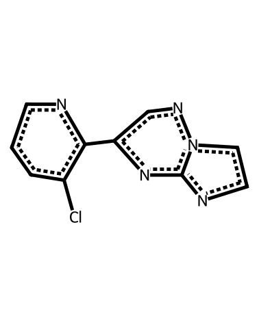 Clc1cccnc1-c1cnn2ccnc2n1